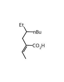 C/C=C(/CC(CC)CCCC)C(=O)O